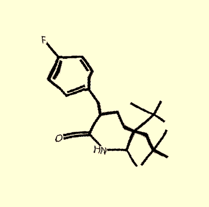 CC1NC(=O)C(c2ccc(F)cc2)CC1(C(C)(C)C)C(C)(C)C